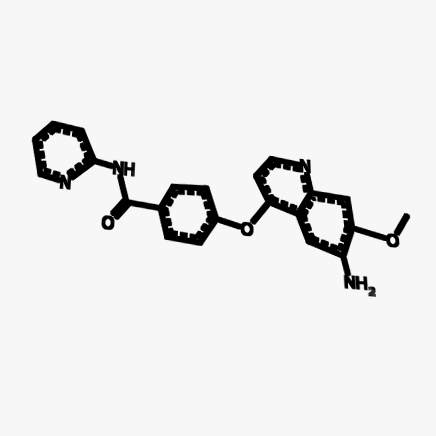 COc1cc2nccc(Oc3ccc(C(=O)Nc4ccccn4)cc3)c2cc1N